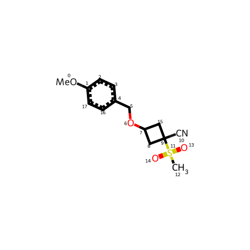 COc1ccc(COC2CC(C#N)(S(C)(=O)=O)C2)cc1